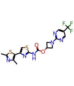 Cc1nc(C)c(-c2csc(NC(=O)OC3CN(c4ncc(C(F)(F)F)cn4)C3)n2)s1